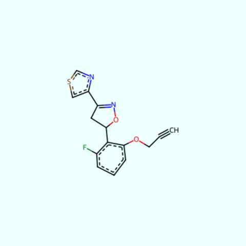 C#CCOc1cccc(F)c1C1CC(c2cscn2)=NO1